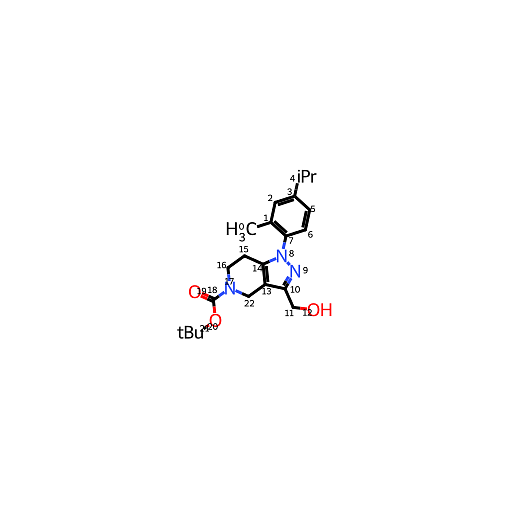 Cc1cc(C(C)C)ccc1-n1nc(CO)c2c1CCN(C(=O)OC(C)(C)C)C2